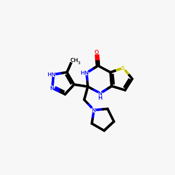 Cc1[nH]ncc1C1(CN2CCCC2)NC(=O)c2sccc2N1